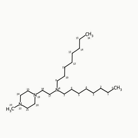 CCCCCCCCN(CCCCCCCC)CCN1CCN(C)CC1